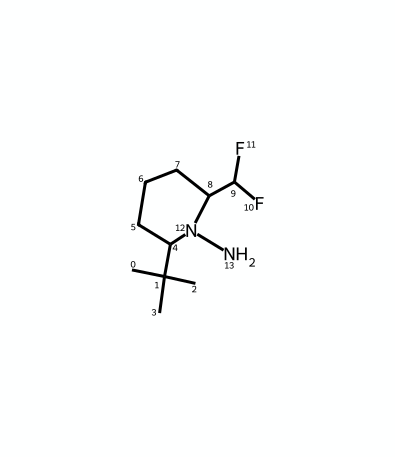 CC(C)(C)C1CCCC(C(F)F)N1N